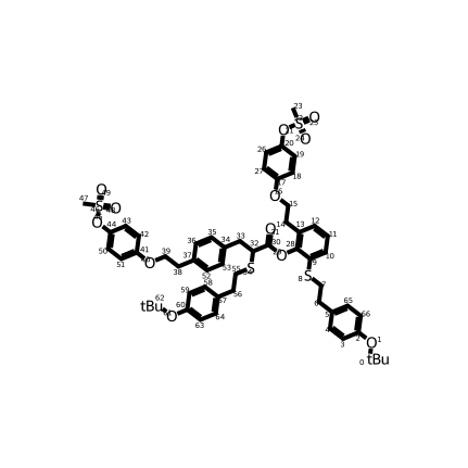 CC(C)(C)Oc1ccc(CCSc2cccc(CCOc3ccc(OS(C)(=O)=O)cc3)c2OC(=O)C(Cc2ccc(CCOc3ccc(OS(C)(=O)=O)cc3)cc2)SCCc2ccc(OC(C)(C)C)cc2)cc1